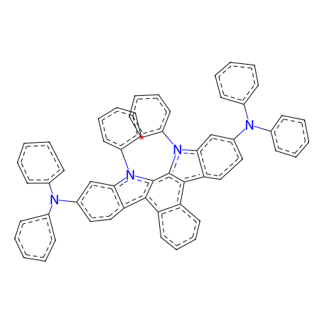 c1ccc(N(c2ccccc2)c2ccc3c4c5ccccc5c5c6ccc(N(c7ccccc7)c7ccccc7)cc6n(-c6ccccc6)c5c4n(-c4ccccc4)c3c2)cc1